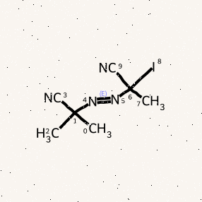 CC(C)(C#N)/N=N/C(C)(I)C#N